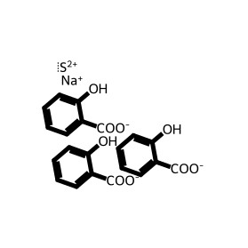 O=C([O-])c1ccccc1O.O=C([O-])c1ccccc1O.O=C([O-])c1ccccc1O.[Na+].[S+2]